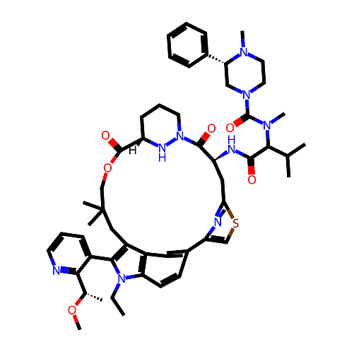 CCn1c(-c2cccnc2[C@H](C)OC)c2c3cc(ccc31)-c1csc(n1)C[C@H](NC(=O)C(C(C)C)N(C)C(=O)N1CCN(C)[C@@H](c3ccccc3)C1)C(=O)N1CCC[C@H](N1)C(=O)OCC(C)(C)C2